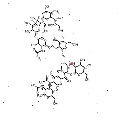 CC(=O)NC1C(O)[C@H](O[C@@H]2OC3CC(O)(O[C@]4(OC=O)C[C@@H](O)[C@@H](C)C([C@H](O)[C@H](O)CO)O4)[C@@H]3[C@H](O)C2O)[C@H](CO)O[C@H]1OCCC1[C@@H](OCC2O[C@@H](O[C@@H]3C(CO)O[C@@H](O[C@@H]4C(CO)O[C@@H](C)C(NC(C)=O)[C@H]4O)C(NC(C)=O)[C@H]3O)C(O)[C@@H](O[C@H]3OC(CO)[C@@H](O)C(O)C3O)[C@@H]2O)OC(CO)[C@@H](O)[C@@H]1O